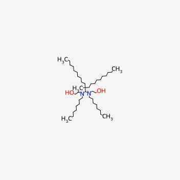 CCCCCCCCCCC(C)(CCCCCCCCCC)C(N(CCO)CCCCCCCC)N(CCO)CCCCCCCC